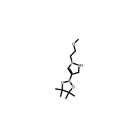 COCCN1C=C(B2OC(C)(C)C(C)(C)O2)CN1